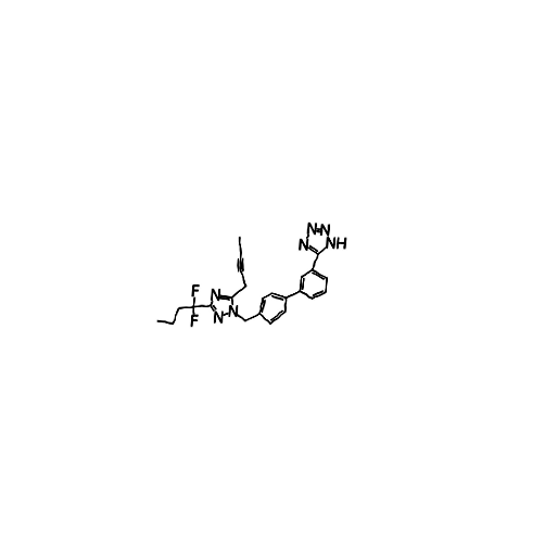 CC#CCc1nc(C(F)(F)CCC)nn1Cc1ccc(-c2cccc(-c3nnn[nH]3)c2)cc1